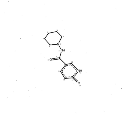 O=C(NN1CCCCC1)c1ccc(=O)[nH]c1